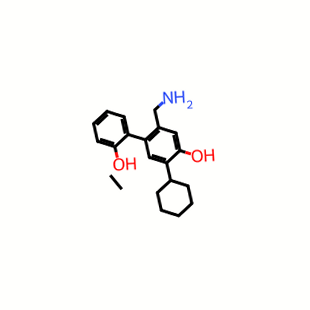 CC.NCc1cc(O)c(C2CCCCC2)cc1-c1ccccc1O